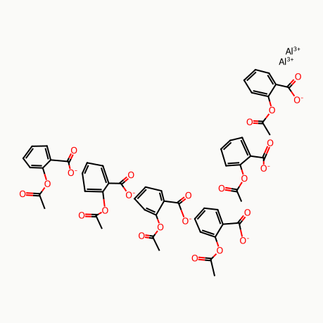 CC(=O)Oc1ccccc1C(=O)[O-].CC(=O)Oc1ccccc1C(=O)[O-].CC(=O)Oc1ccccc1C(=O)[O-].CC(=O)Oc1ccccc1C(=O)[O-].CC(=O)Oc1ccccc1C(=O)[O-].CC(=O)Oc1ccccc1C(=O)[O-].[Al+3].[Al+3]